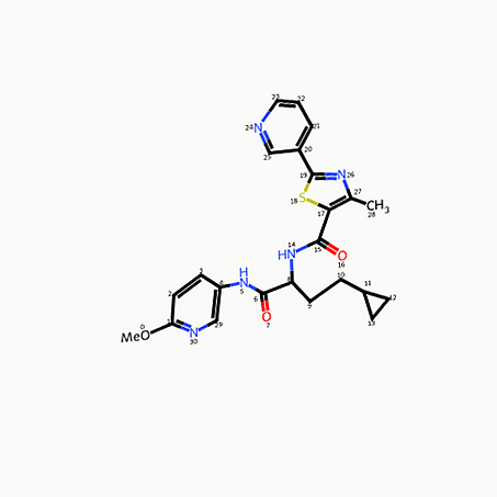 COc1ccc(NC(=O)C(CCC2CC2)NC(=O)c2sc(-c3cccnc3)nc2C)cn1